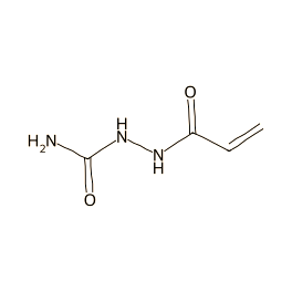 C=CC(=O)NNC(N)=O